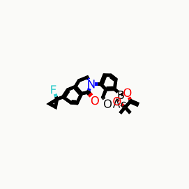 C=C1OB(c2cccc(N3CCc4cc(C5(F)CC5)ccc4C3=O)c2COC(C)=O)OC1(C)C